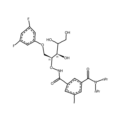 CCCN(CCC)C(=O)c1cc(C)cc(C(=O)NO[C@@H](COc2cc(F)cc(F)c2)[C@H](O)C(O)CO)c1